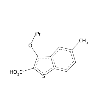 Cc1ccc2sc(C(=O)O)c(OC(C)C)c2c1